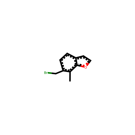 Cc1c(CBr)ccc2ccoc12